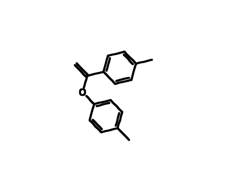 C=C(Oc1ccc(C)cc1)c1ccc(C)cc1